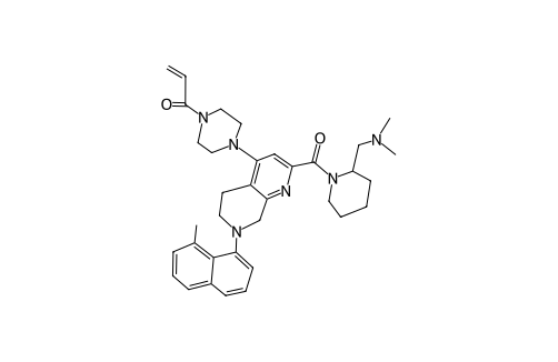 C=CC(=O)N1CCN(c2cc(C(=O)N3CCCCC3CN(C)C)nc3c2CCN(c2cccc4cccc(C)c24)C3)CC1